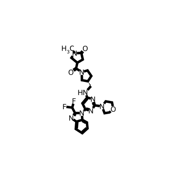 CN1CC(C(=O)N2CC[C@H](CNc3cc(-n4c(C(F)F)nc5ccccc54)nc(N4CCOCC4)n3)C2)CC1=O